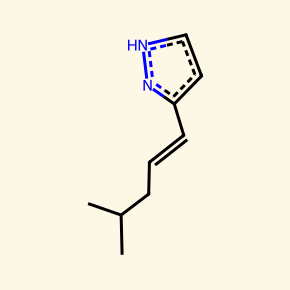 CC(C)C/C=C/c1cc[nH]n1